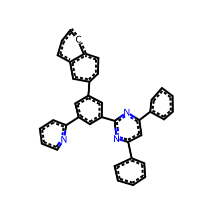 c1ccc(-c2cc(-c3ccccc3)nc(-c3cc(-c4ccc5ccccc5c4)cc(-c4ccccn4)c3)n2)cc1